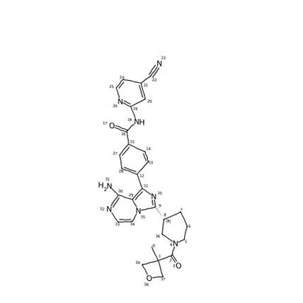 CC1(C(=O)N2CCC[C@@H](c3nc(-c4ccc(C(=O)Nc5cc(C#N)ccn5)cc4)c4c(N)nccn34)C2)COC1